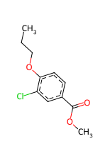 CCCOc1ccc(C(=O)OC)cc1Cl